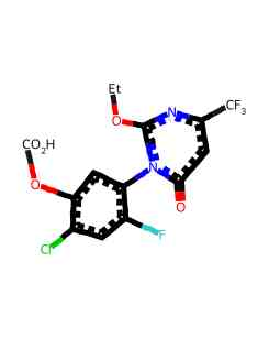 CCOc1nc(C(F)(F)F)cc(=O)n1-c1cc(OC(=O)O)c(Cl)cc1F